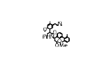 COC(=O)CC(NC(=O)C(CC(C)C)C1C=C(CCN(C)C)C(C)=CC1=O)c1cccc(-c2c(C)cccc2C)c1